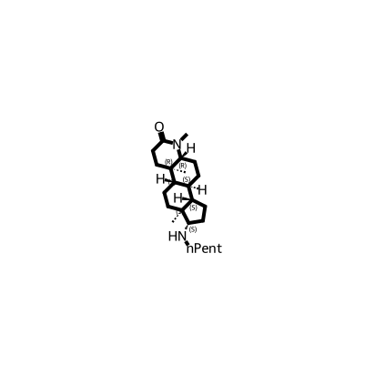 CCCCCN[C@H]1CC[C@H]2[C@@H]3CC[C@H]4N(C)C(=O)CC[C@]4(C)[C@H]3CC[C@]12C